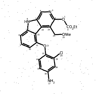 CCOC(=O)Oc1ncc2[nH]c3cccc(Oc4ccc(N)cc4Cl)c3c2c1COC